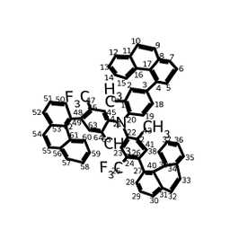 Cc1cc(-c2cccc3ccc4ccccc4c23)ccc1N(c1cc(C(F)(F)F)c(-c2cccc3ccc4ccccc4c23)cc1C)c1cc(C(F)(F)F)c(-c2cccc3ccc4ccccc4c23)cc1C